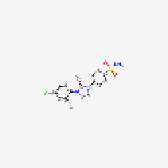 NS(=O)(=O)c1ccc(N2CCN(c3ccc(Cl)cc3F)C2=O)cc1